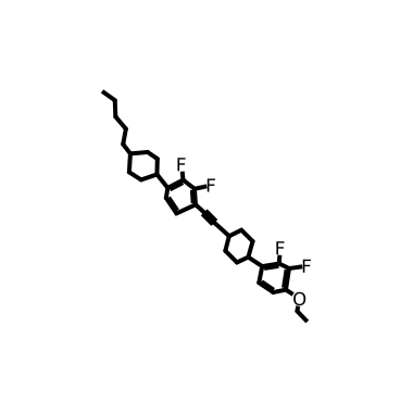 CCCCCC1CCC(c2ccc(C#CC3CCC(c4ccc(OCC)c(F)c4F)CC3)c(F)c2F)CC1